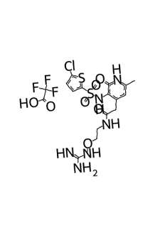 Cc1cc(CC(=O)NCCONC(=N)N)c(NS(=O)(=O)c2ccc(Cl)s2)c(=O)[nH]1.O=C(O)C(F)(F)F